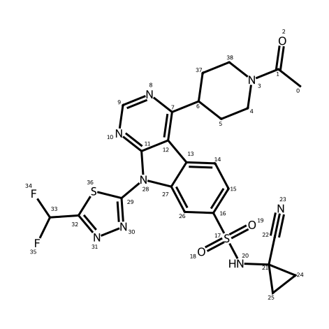 CC(=O)N1CCC(c2ncnc3c2c2ccc(S(=O)(=O)NC4(C#N)CC4)cc2n3-c2nnc(C(F)F)s2)CC1